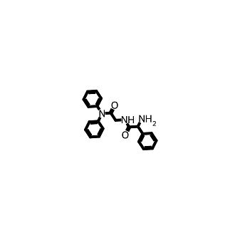 NC(C(=O)NCC(=O)N(c1ccccc1)c1ccccc1)c1ccccc1